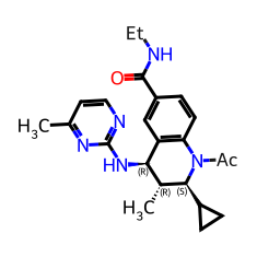 CCNC(=O)c1ccc2c(c1)[C@H](Nc1nccc(C)n1)[C@@H](C)[C@H](C1CC1)N2C(C)=O